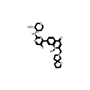 CC(C)n1c(CN2CCC3(CCCO3)C2)cc(=O)c2ccc(-c3nc(N[C@@H]4CCOC[C@H]4O)ncc3F)cc21